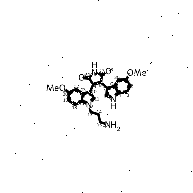 COc1ccc2[nH]cc(C3=C(c4cn(CCCN)c5ccc(OC)cc45)C(=O)NC3=O)c2c1